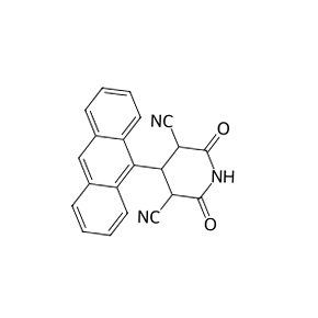 N#CC1C(=O)NC(=O)C(C#N)C1c1c2ccccc2cc2ccccc12